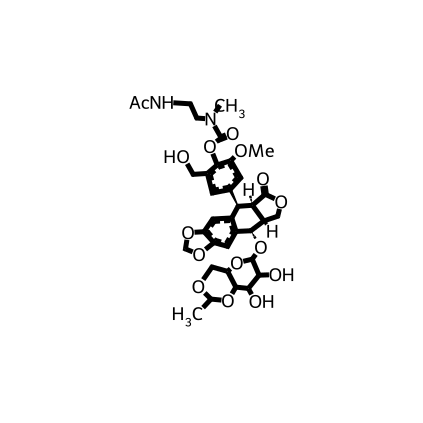 COc1cc([C@@H]2c3cc4c(cc3[C@@H](OC3OC5COC(C)OC5C(O)C3O)[C@H]3COC(=O)[C@H]23)OCO4)cc(CO)c1OC(=O)N(C)CCNC(C)=O